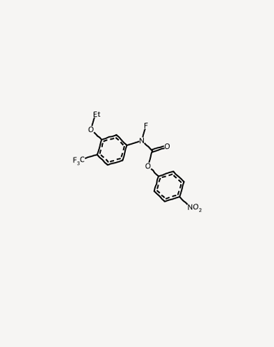 CCOc1cc(N(F)C(=O)Oc2ccc([N+](=O)[O-])cc2)ccc1C(F)(F)F